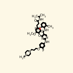 COc1cc(CCC(=O)NC(C)C)ccc1Oc1nc(Nc2ccc(OCCCN3CCN(C)CC3)c(F)c2)ncc1C(=O)Nc1c(C)cccc1C